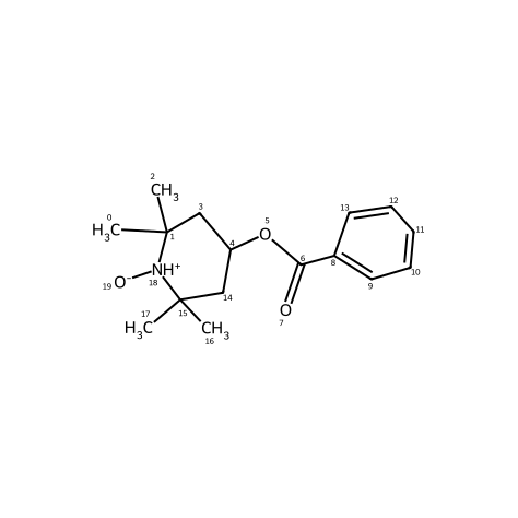 CC1(C)CC(OC(=O)c2ccccc2)CC(C)(C)[NH+]1[O-]